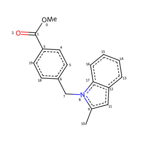 COC(=O)c1ccc(Cn2c(C)cc3ccccc32)cc1